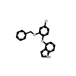 Clc1ccc(Oc2cccc3[nH]ccc23)c(OCc2ccccc2)c1